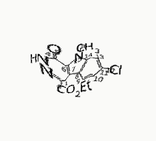 CCOC(=O)c1n[nH]c(=O)c2c1c1ccc(Cl)cc1n2C